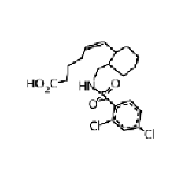 O=C(O)CCC/C=C\C1CCCCC1CNS(=O)(=O)c1ccc(Cl)cc1Cl